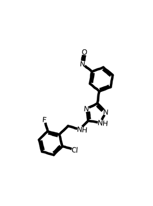 O=Nc1cccc(-c2n[nH]c(NCc3c(F)cccc3Cl)n2)c1